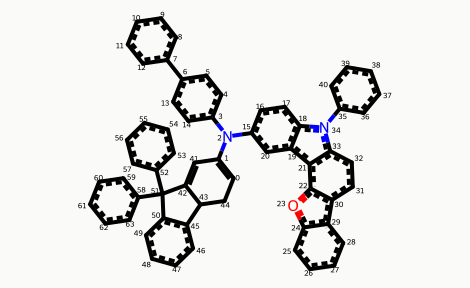 C1=C(N(c2ccc(-c3ccccc3)cc2)c2ccc3c(c2)c2c4oc5ccccc5c4ccc2n3-c2ccccc2)C=C2C(C1)c1ccccc1C2(c1ccccc1)c1ccccc1